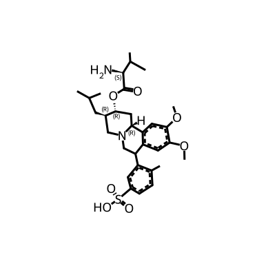 COc1cc2c(cc1OC)[C@H]1C[C@@H](OC(=O)[C@@H](N)C(C)C)[C@H](CC(C)C)CN1CC2c1cc(S(=O)(=O)O)ccc1C